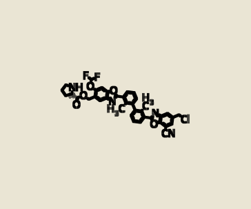 Cc1c(-c2nc3cc(COC(=O)[C@@H]4CCCN4)c(OC(F)F)cc3o2)cccc1-c1cccc(-c2nc3cc(CCl)cc(C#N)c3o2)c1C